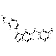 OCc1cccc(-c2cnc3ccc(Oc4cccc(Cl)c4)nn23)c1